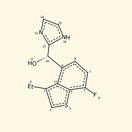 CCc1csc2c(F)ccc([C@H](O)c3ncc[nH]3)c12